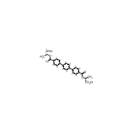 CCCCCC[C@@H](C)OC(=O)c1ccc(-c2ccc(-c3ccc(C(=O)O[C@@H](C)C(=O)OCC)cc3)cc2)cc1